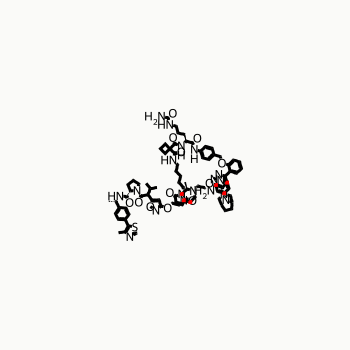 Cc1ncsc1-c1ccc([C@H](C)NC(=O)[C@@H]2CCCN2C(=O)C(c2cc(OCCN3CCN(CCOc4cc(N5C6CCC5CN(c5cc(-c7ccccc7OCc7ccc(NC(=O)[C@H](CCCNC(N)=O)NC(=O)C8(C(=O)NCCCCCN9C(=O)C=CC9=O)CCC8)cc7)nnc5N)C6)ccn4)[C@H](C)C3)no2)C(C)C)cc1